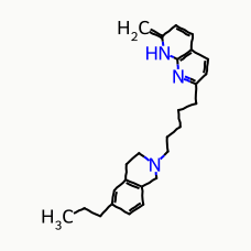 C=C1C=Cc2ccc(CCCCCN3CCc4cc(CCC)ccc4C3)nc2N1